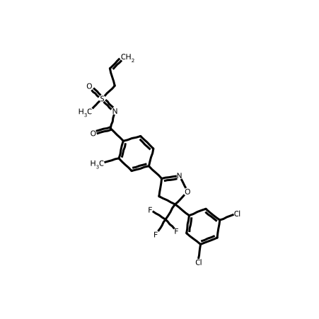 C=CCS(C)(=O)=NC(=O)c1ccc(C2=NOC(c3cc(Cl)cc(Cl)c3)(C(F)(F)F)C2)cc1C